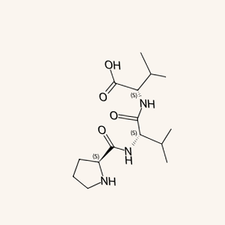 CC(C)[C@H](NC(=O)[C@@H](NC(=O)[C@@H]1CCCN1)C(C)C)C(=O)O